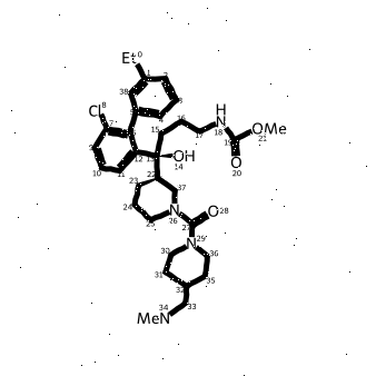 CCc1cccc(-c2c(Cl)cccc2[C@](O)(CCCNC(=O)OC)[C@@H]2CCCN(C(=O)N3CCC(CNC)CC3)C2)c1